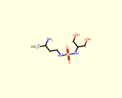 NC(CCNS(=O)(=O)NC(CO)CO)C(=O)O